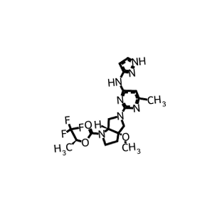 CO[C@@]12CCN(C(=O)O[C@@H](C)C(F)(F)F)[C@@H]1CN(c1nc(C)cc(Nc3cc[nH]n3)n1)C2